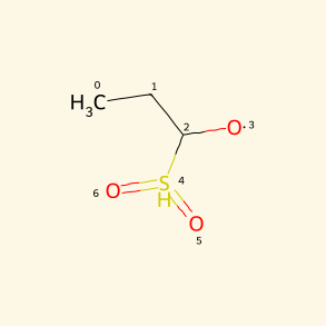 CCC([O])[SH](=O)=O